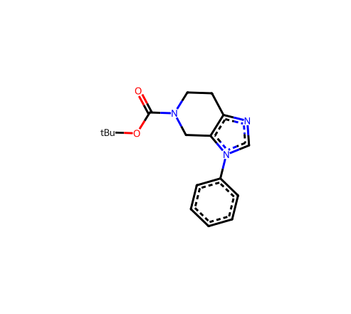 CC(C)(C)OC(=O)N1CCc2ncn(-c3ccccc3)c2C1